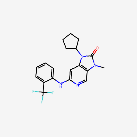 Cn1c(=O)n(C2CCCC2)c2cc(Nc3ccccc3C(F)(F)F)ncc21